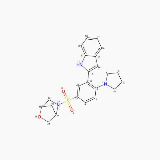 O=S(=O)(c1ccc(N2CCCC2)c(-c2cc3ccccc3[nH]2)c1)N1CC2CC1CO2